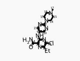 CCc1nc(C(N)=O)c(Nc2cnc(N3CCN(C)CC3)nc2)nc1Cl